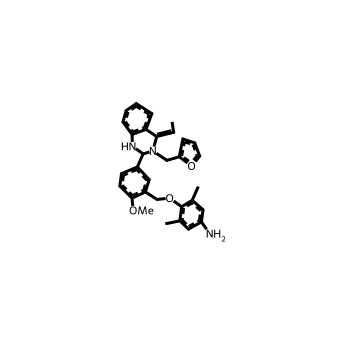 C/C=C1\c2ccccc2NC(c2ccc(OC)c(COc3c(C)cc(N)cc3C)c2)N1Cc1ccco1